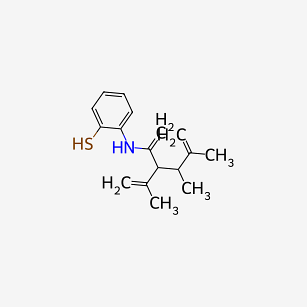 C=C(C)C(C)C(C(=C)C)C(=C)Nc1ccccc1S